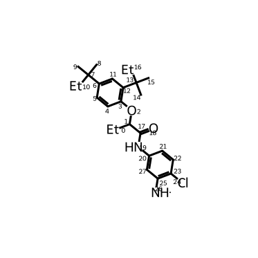 CCC(Oc1ccc(C(C)(C)CC)cc1C(C)(C)CC)C(=O)Nc1ccc(Cl)c([NH])c1